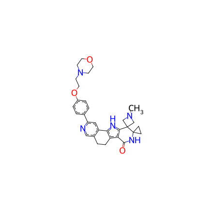 CN1CC2(C1)c1[nH]c3c(c1C(=O)NC21CC1)CCc1cnc(-c2ccc(OCCN4CCOCC4)cc2)cc1-3